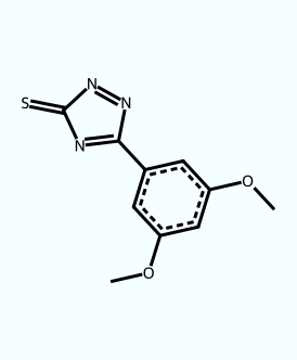 COc1cc(OC)cc(C2=NC(=S)N=N2)c1